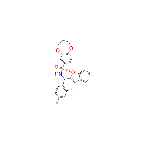 Cc1cc(F)ccc1C(NS(=O)(=O)c1ccc2c(c1)OCCCO2)c1cc2ccccc2o1